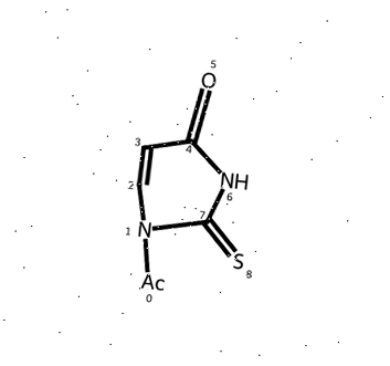 CC(=O)n1ccc(=O)[nH]c1=S